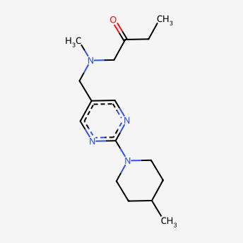 CCC(=O)CN(C)Cc1cnc(N2CCC(C)CC2)nc1